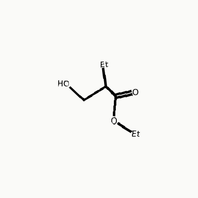 CCOC(=O)C(CC)CO